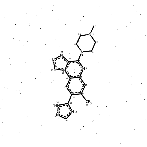 CN1CCN(c2nc3cc(C(F)(F)F)c(-c4ncn[nH]4)cc3n3nnnc23)CC1